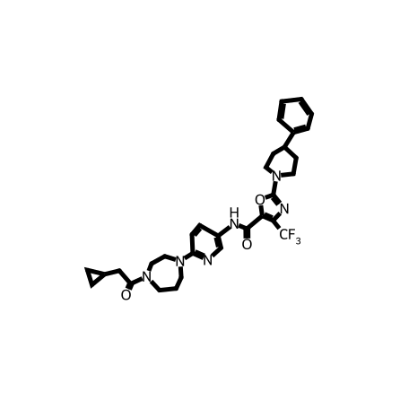 O=C(Nc1ccc(N2CCCN(C(=O)CC3CC3)CC2)nc1)c1oc(N2CCC(c3ccccc3)CC2)nc1C(F)(F)F